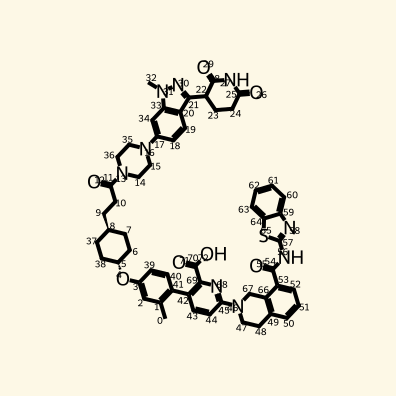 Cc1cc(O[C@H]2CC[C@H](CCC(=O)N3CCN(c4ccc5c(C6CCC(=O)NC6=O)nn(C)c5c4)CC3)CC2)ccc1-c1ccc(N2CCc3cccc(C(=O)Nc4nc5ccccc5s4)c3C2)nc1C(=O)O